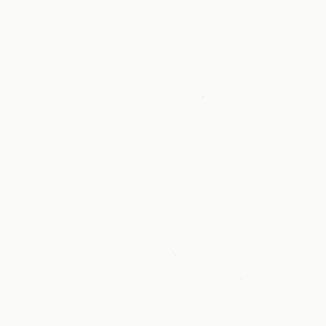 COc1c(C(C)(C)C)cc(C=CC(=O)C(C)P(=O)(O)O)c2c1CCCC2